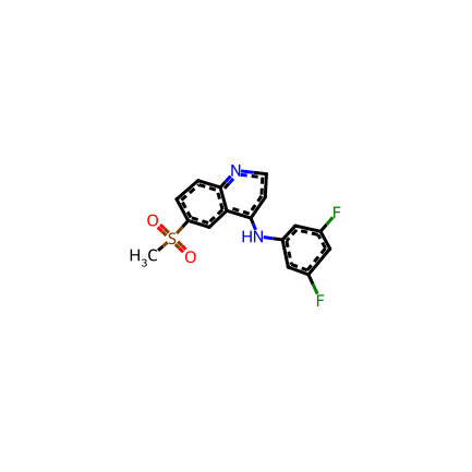 CS(=O)(=O)c1ccc2nccc(Nc3cc(F)cc(F)c3)c2c1